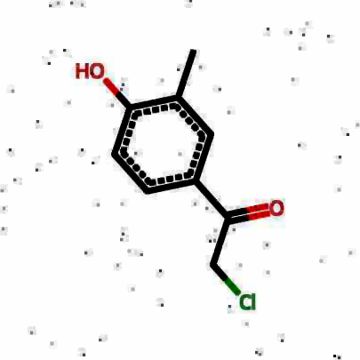 Cc1cc(C(=O)CCl)ccc1O